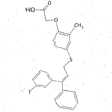 Cc1cc(SCC=C(c2ccccc2)c2cccc(I)c2)ccc1OCC(=O)O